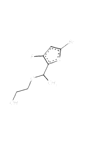 CC(OCCO)c1sc(Br)cc1F